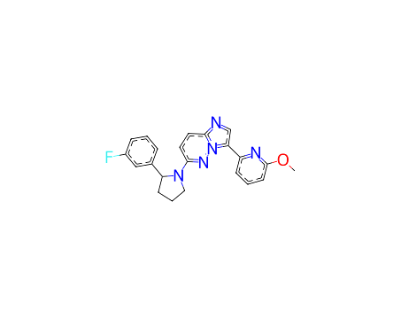 COc1cccc(-c2cnc3ccc(N4CCCC4c4cccc(F)c4)nn23)n1